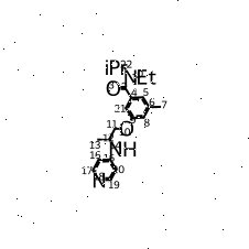 CCN(C(=O)c1cc(C)cc(OC[C@H](C)Nc2ccncc2)c1)C(C)C